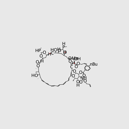 C=CCOC(=O)N[C@H]1[C@H](O)[C@@H](C)O[C@@H](O[C@H]2/C=C/C=C/C=C/C=C/C=C/C=C/C=C/[C@H](C)[C@@H](O)[C@@H](C)[C@H](C)OC(=O)C[C@H]3C[C@@H](CC[C@@H](O)[C@H]4C[C@@H](C[C@]5(OC)C[C@H](O)[C@@H](C(=O)OCC=C)[C@H](C2)O5)OC(PC)O4)OC(PC)O3)[C@H]1OC(=O)c1ccc(CCCC)cc1